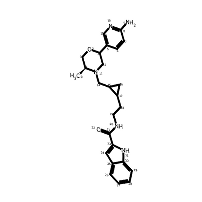 C[C@H]1COC(c2ccc(N)nc2)CN1CC1CC1CCNC(=O)c1cc2ccccc2[nH]1